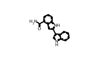 NC(=O)c1cccc2[nH]c(-c3c[nH]c4ccccc34)cc12